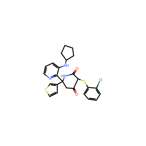 O=C1CC(c2ccsc2)(c2ncccc2NC2CCCC2)NC(=O)C1Sc1ccccc1Cl